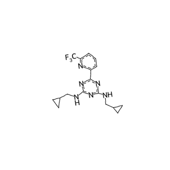 FC(F)(F)c1cccc(-c2nc(NCC3CC3)nc(NCC3CC3)n2)n1